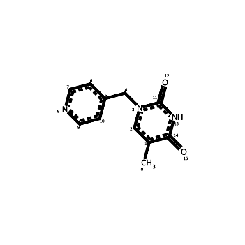 Cc1cn(Cc2ccncc2)c(=O)[nH]c1=O